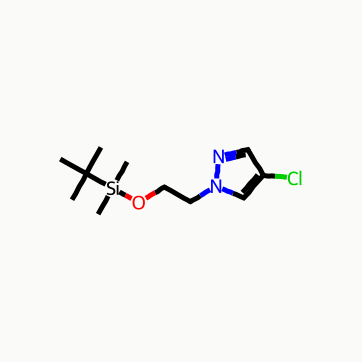 CC(C)(C)[Si](C)(C)OCCn1cc(Cl)cn1